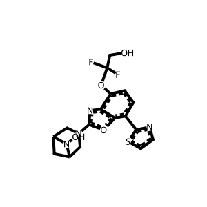 OCC(F)(F)Oc1ccc(-c2nccs2)c2oc(N3CC4CC(C3)N4O)nc12